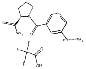 NNc1cccc(C(=O)N2CCC[C@@H]2C(N)=O)c1.O=C(O)C(F)(F)F